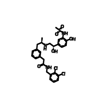 C[C@H](Cc1cccc(CC(=O)NCc2cccc(Cl)c2Cl)c1)NC[C@@H](O)c1ccc(O)c(NS(C)(=O)=O)c1